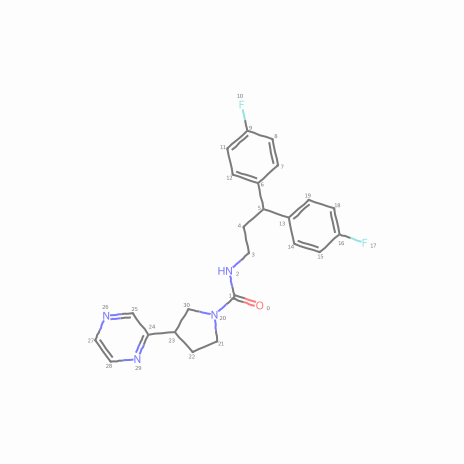 O=C(NCCC(c1ccc(F)cc1)c1ccc(F)cc1)N1CCC(c2cnccn2)C1